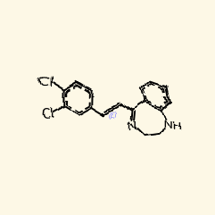 Clc1ccc(/C=C/C2=NCCNc3ccccc32)cc1Cl